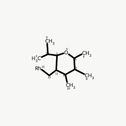 CC(C)C1OC(C)C(C)C(C)C1[CH2][Rh]